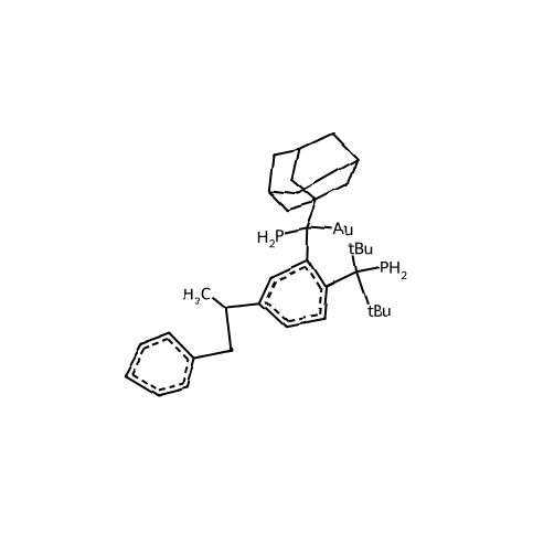 CC(Cc1ccccc1)c1ccc(C(P)(C(C)(C)C)C(C)(C)C)c([C](P)([Au])C23CC4CC(CC(C4)C2)C3)c1